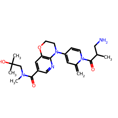 C=C1C=C(N2CCOc3cc(C(=O)N(C)CC(C)(C)O)cnc32)C=CN1C(=O)C(C)CN